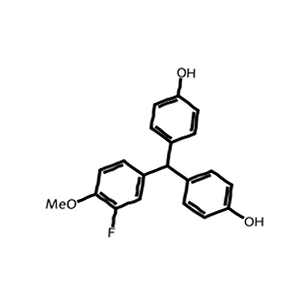 COc1ccc(C(c2ccc(O)cc2)c2ccc(O)cc2)cc1F